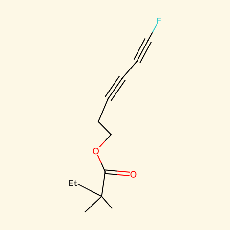 CCC(C)(C)C(=O)OCCC#CC#CF